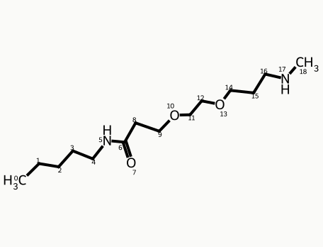 CCCCCNC(=O)CCOCCOCCCNC